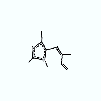 C=C/C(C)=C\c1c(C)nc(C)n1C